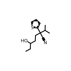 CCC(O)CCC(C#N)(c1cccs1)C(C)C